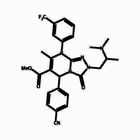 COC(=O)C1=C(C)N(c2cccc(C(F)(F)F)c2)c2nn(CC(C)N(C)C)c(=O)n2C1c1ccc(C#N)cc1